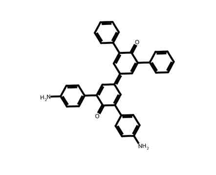 Nc1ccc(C2=CC(=C3C=C(c4ccccc4)C(=O)C(c4ccccc4)=C3)C=C(c3ccc(N)cc3)C2=O)cc1